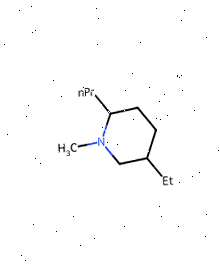 CCCC1CCC(CC)CN1C